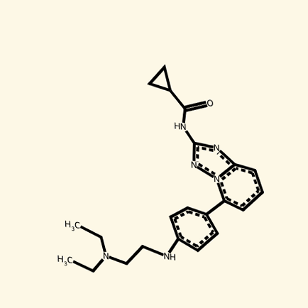 CCN(CC)CCNc1ccc(-c2cccc3nc(NC(=O)C4CC4)nn23)cc1